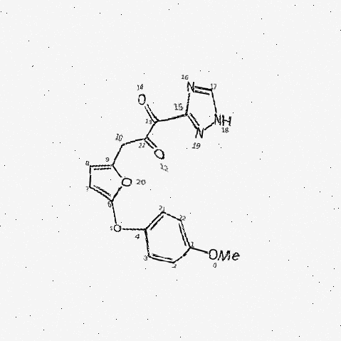 COc1ccc(Oc2ccc(CC(=O)C(=O)c3nc[nH]n3)o2)cc1